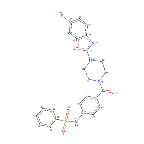 O=C(c1ccc(NS(=O)(=O)c2ccccn2)cc1)N1CCN(c2nc3ccc(F)cc3o2)CC1